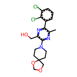 Cc1nc(N2CCC3(CC2)COCO3)c(CO)nc1-c1cccc(Cl)c1Cl